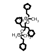 C[Si](C)(CCc1ccccc1)OCC(CO[Si](C)(C)CCc1ccccc1)(Cc1ccccc1)Cc1ccccc1